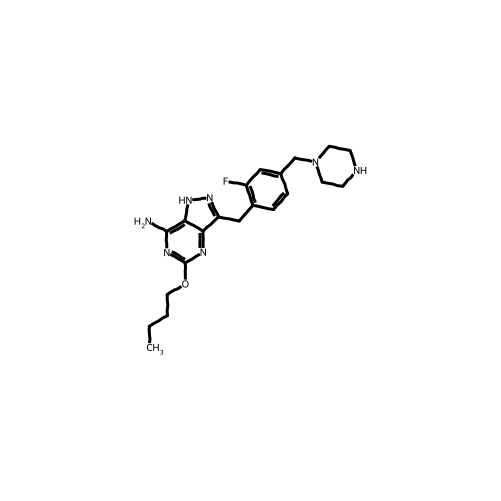 CCCCOc1nc(N)c2[nH]nc(Cc3ccc(CN4CCNCC4)cc3F)c2n1